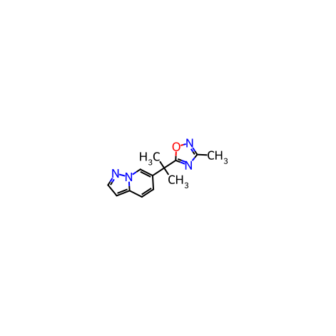 Cc1noc(C(C)(C)c2ccc3ccnn3c2)n1